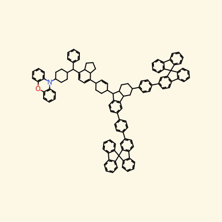 C1=CC(C2c3ccc(-c4ccc(-c5ccc6c(c5)C5(c7ccccc7-c7ccccc75)c5ccccc5-6)cc4)cc3C3CC(c4ccc(-c5ccc6c(c5)C5(c7ccccc7-c7ccccc75)c5ccccc5-6)cc4)CCC32)CCC1C1=CC=C(C(c2ccccc2)C2CCC(N3c4ccccc4Oc4ccccc43)CC2)C2CCCC12